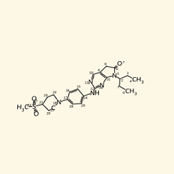 CCC(CC)N1C(=O)Cc2cnc(Nc3ccc(N4CCC(S(C)(=O)=O)CC4)cc3)nc21